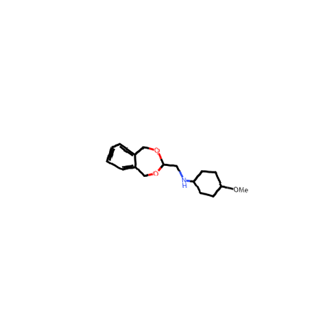 COC1CCC(NCC2OCc3ccccc3CO2)CC1